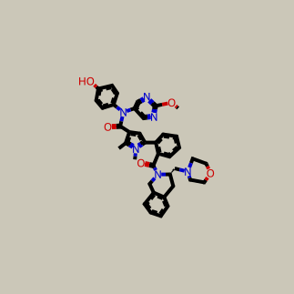 COc1ncc(N(C(=O)c2cc(-c3ccccc3C(=O)N3Cc4ccccc4C[C@H]3CN3CCOCC3)n(C)c2C)c2ccc(O)cc2)cn1